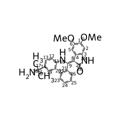 COc1cc2c(cc1OC)/C(=C(\Nc1ccc(C(C)(C)N)cc1)c1ccccc1)C(=O)N2